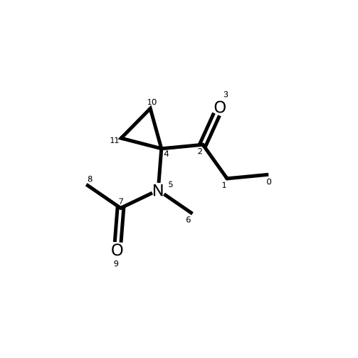 CCC(=O)C1(N(C)C(C)=O)CC1